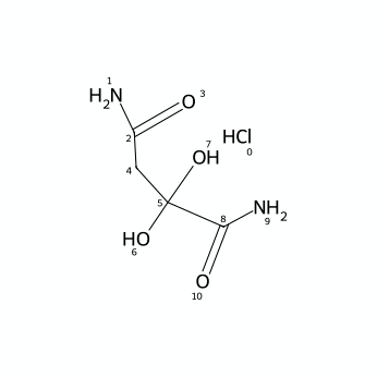 Cl.NC(=O)CC(O)(O)C(N)=O